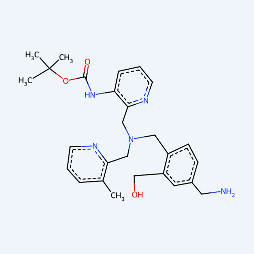 Cc1cccnc1CN(Cc1ccc(CN)cc1CO)Cc1ncccc1NC(=O)OC(C)(C)C